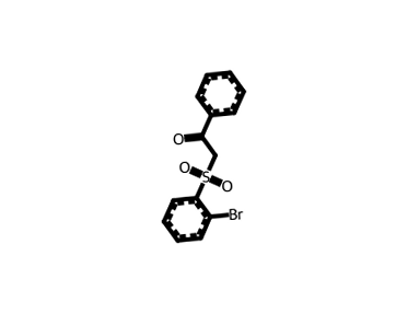 O=C(CS(=O)(=O)c1ccccc1Br)c1ccccc1